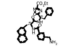 CCOC(=O)c1noc([C@@H](Cc2ccccc2)NC(=O)[C@@H](Cc2ccc3ccccc3c2)NC(=O)c2cccc(CN)c2)n1